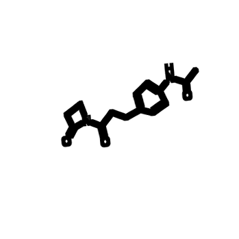 CC(=O)Nc1ccc(CCC(=O)N2CCC2=O)cc1